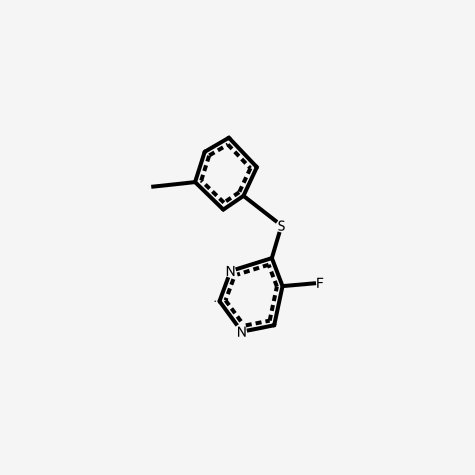 Cc1cccc(Sc2n[c]ncc2F)c1